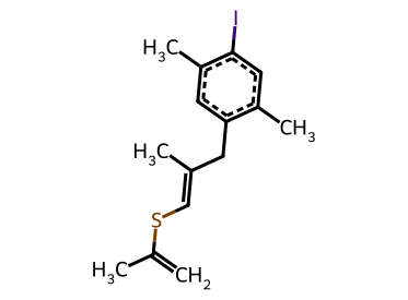 C=C(C)S/C=C(\C)Cc1cc(C)c(I)cc1C